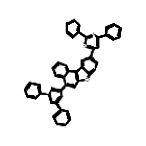 c1ccc(-c2cc(-c3ccccc3)cc(-c3cc4oc5ccc(-c6cc(-c7ccccc7)nc(-c7ccccc7)n6)cc5c4c4ccccc34)c2)cc1